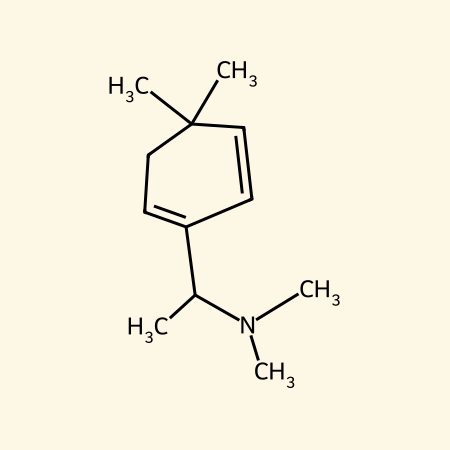 CC(C1=CCC(C)(C)C=C1)N(C)C